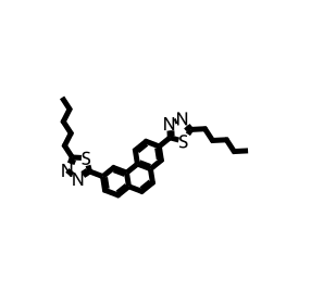 CCCCCc1nnc(-c2ccc3c(ccc4ccc(-c5nnc(CCCCC)s5)cc43)c2)s1